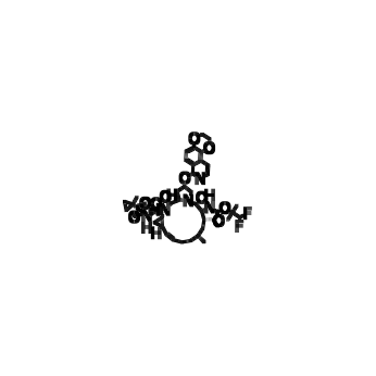 CC[C@@H]1C[C@@H](C)CC/C=C\[C@@H]2C[C@@]2(C(=O)NS(=O)(=O)C2(C)CC2)NC(=O)[C@@H]2C[C@@H](Oc3nccc4c5c(ccc34)OCCO5)CN2C(=O)[C@H]1NC(=O)OC(C)(C)C(F)F